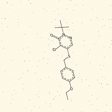 CCOc1ccc(CSc2cnn(C(C)(C)C)c(=O)c2Cl)cc1